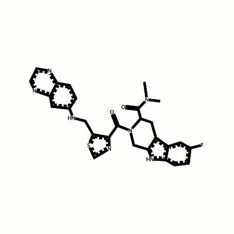 CN(C)C(=O)C1Cc2c([nH]c3ccc(F)cc23)CN1C(=O)c1ncsc1CNc1ccc2nccnc2c1